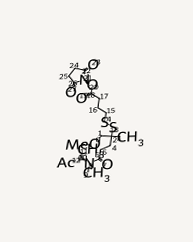 COCC(C)(CCC(=O)N(C)[C@@H](C)C(C)=O)SSCCCC(=O)ON1C(=O)CCC1=O